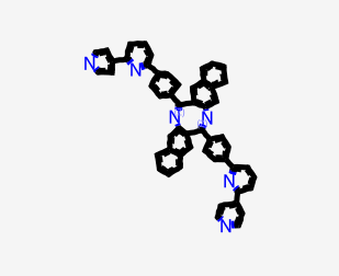 c1cc(-c2ccncc2)nc(-c2ccc(/C3=N/c4cc5ccccc5cc4/C(c4ccc(-c5cccc(-c6ccncc6)n5)cc4)=N\c4cc5ccccc5cc43)cc2)c1